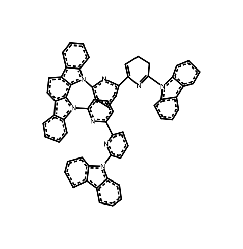 C1=C(c2cccc(-n3c4ccccc4c4ccc5c6ccccc6n(-c6cccc(-c7cccc(-n8c9ccccc9c9ccccc98)n7)n6)c5c43)n2)N=C(n2c3ccccc3c3ccccc32)CC1